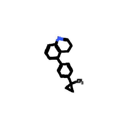 FC(F)(F)C1(c2ccc(-c3cccc4c3CCC=N4)cc2)CC1